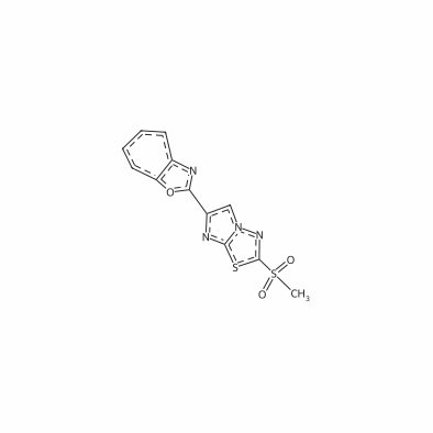 CS(=O)(=O)c1nn2cc(-c3nc4ccccc4o3)nc2s1